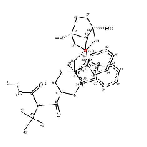 CCOC(=O)C(C(=O)N1CCC(CCN2[C@@H]3CC[C@H]2CC(n2c(C)nc4ccccc42)C3)(c2ccccc2)CC1)C(C)(C)C